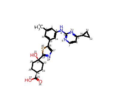 Cc1cc(Nc2nccc(C3CC3)n2)cc(-c2cnc([C@]3(O)CC[C@@H](C(=O)O)CC3)s2)c1